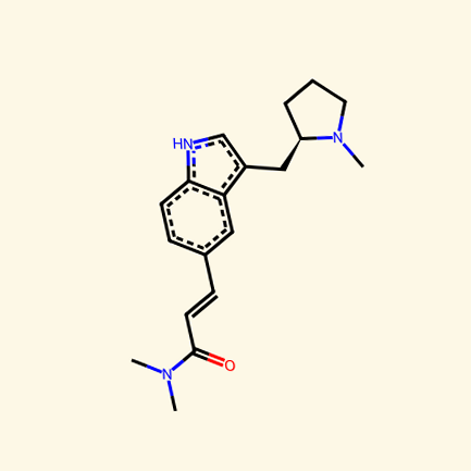 CN(C)C(=O)/C=C/c1ccc2[nH]cc(C[C@H]3CCCN3C)c2c1